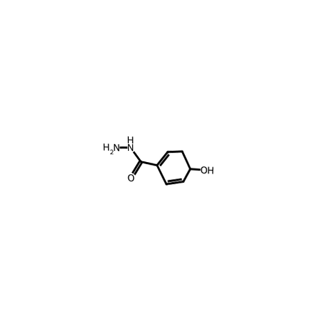 NNC(=O)C1=CCC(O)C=C1